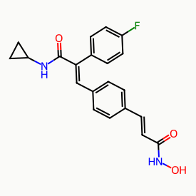 O=C(/C=C/c1ccc(/C=C(/C(=O)NC2CC2)c2ccc(F)cc2)cc1)NO